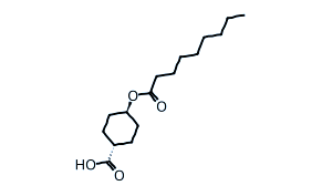 CCCCCCCCC(=O)O[C@H]1CC[C@H](C(=O)O)CC1